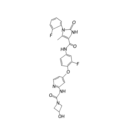 Cc1c(C(=O)Nc2ccc(Oc3ccnc(NC(=O)N4CC(O)C4)c3)c(F)c2)[nH]c(=O)n1-c1ccccc1F